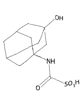 O=C(NC12CC3CC(CC(O)(C3)C1)C2)S(=O)(=O)O